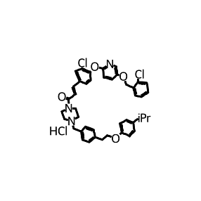 CC(C)c1ccc(OCCc2ccc(CN3CCN(C(=O)C=Cc4ccc(Oc5ccc(OCc6ccccc6Cl)cn5)c(Cl)c4)CC3)cc2)cc1.Cl